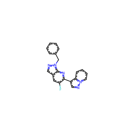 Fc1cc2cnn(Cc3ccccc3)c2nc1-c1cnn2ccccc12